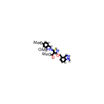 COC(=O)c1c(OCc2cccc3c2cnn3C)nsc1NCc1ccc(OC)cc1OC